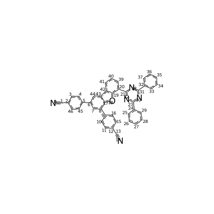 N#Cc1ccc(-c2cc(-c3ccc(C#N)cc3)c3oc4c(-c5nc(-c6ccccc6)nc(-c6ccccc6)n5)cccc4c3c2)cc1